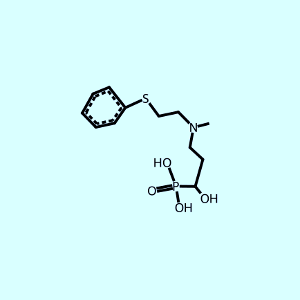 CN(CCSc1ccccc1)CCC(O)P(=O)(O)O